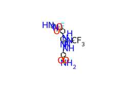 NS(=O)(=O)c1ccc(CNc2nc(NCC(F)(F)F)c3nc(-c4ccc(F)c(S(=O)(=O)N5CCNCC5)c4)ccc3n2)cc1